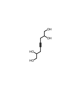 OCC(O)CC#CCC(O)CO